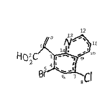 C=C(C(=O)O)c1c(Br)cc(Cl)c2cccnc12